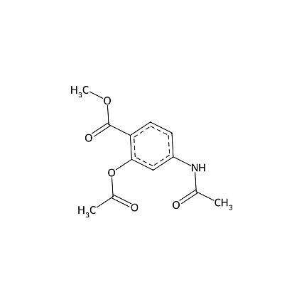 COC(=O)c1ccc(NC(C)=O)cc1OC(C)=O